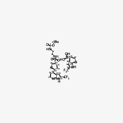 CC(C)(C)OC(=O)NCCNS(=O)(=O)c1ccc(-c2ccnc3[nH]c(C(F)(F)F)cc23)nc1.OB(O)c1ccnc2[nH]c(C(F)(F)F)cc12